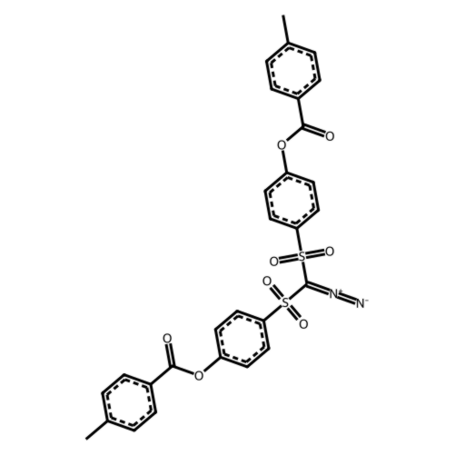 Cc1ccc(C(=O)Oc2ccc(S(=O)(=O)C(=[N+]=[N-])S(=O)(=O)c3ccc(OC(=O)c4ccc(C)cc4)cc3)cc2)cc1